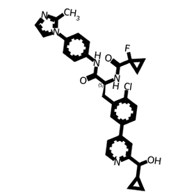 Cc1nccn1-c1ccc(NC(=O)[C@H](Cc2cc(-c3ccnc(C(O)C4CC4)c3)ccc2Cl)NC(=O)C2(F)CC2)cc1